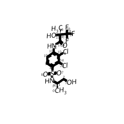 C[C@H](CO)NS(=O)(=O)c1ccc(NC(=O)[C@@](C)(O)C(F)(F)F)c(Cl)c1Cl